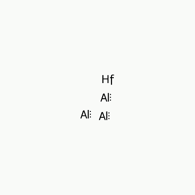 [Al].[Al].[Al].[Hf]